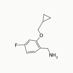 NCc1ccc(F)cc1OCC1CC1